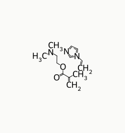 C=C(C)C(=O)OCCN(C)C.C=Cn1ccnc1